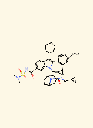 COc1ccc2c(c1)C1CC1(C(=O)N1C3CCC1CC(NCC1CC1)C3)Cn1c-2c(C2CCCCC2)c2ccc(C(=O)NS(=O)(=O)N(C)C)cc21